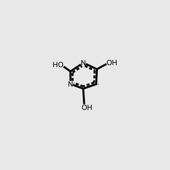 Oc1[c]c(O)nc(O)n1